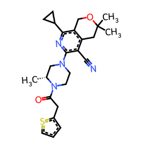 C[C@@H]1CN(c2nc(C3CC3)c3c(c2C#N)CC(C)(C)OC3)CCN1C(=O)Cc1cccs1